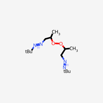 CC(C/N=N/C(C)(C)C)OOC(C)C/N=N/C(C)(C)C